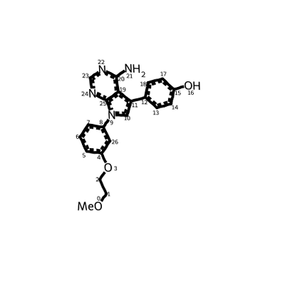 COCCOc1cccc(-n2cc(-c3ccc(O)cc3)c3c(N)ncnc32)c1